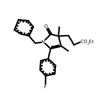 CCOC(=O)CCC1(C)C(=O)N(Cc2ccccc2)C(c2ccc(F)cc2)=C1C